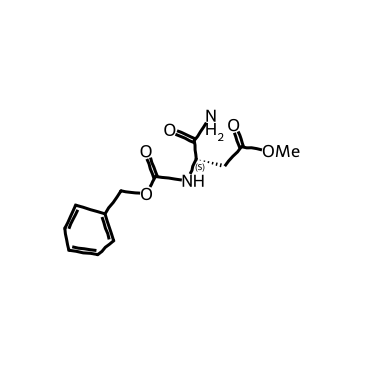 COC(=O)C[C@H](NC(=O)OCc1ccccc1)C(N)=O